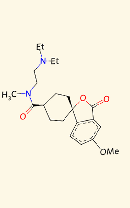 CCN(CC)CCN(C)C(=O)[C@H]1CC[C@@]2(CC1)OC(=O)c1cc(OC)ccc12